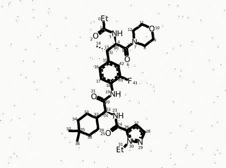 CCC(=O)N[C@@H](C(=O)N1CCOCC1)[C@@H](C)c1ccc(NC(=O)[C@@H](NC(=O)c2ccnn2CC)C2CCC(C)(C)CC2)c(F)c1